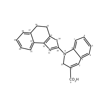 O=C(O)C1=Cc2ccccc2N(c2nc3c(s2)CCc2ccccc2-3)C1